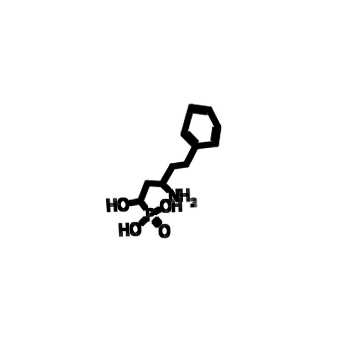 NC(CCc1ccccc1)CC(O)P(=O)(O)O